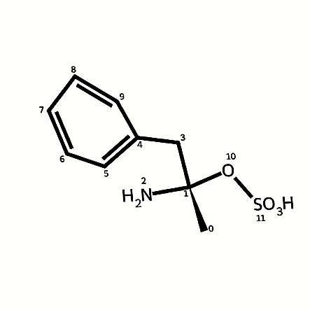 C[C@@](N)(Cc1ccccc1)OS(=O)(=O)O